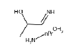 CC(O)C=N.CCCN.O